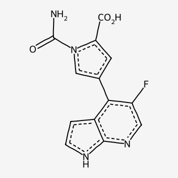 NC(=O)n1cc(-c2c(F)cnc3[nH]ccc23)cc1C(=O)O